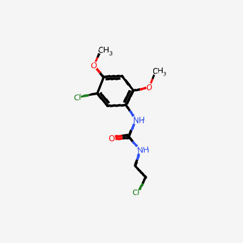 COc1cc(OC)c(NC(=O)NCCCl)cc1Cl